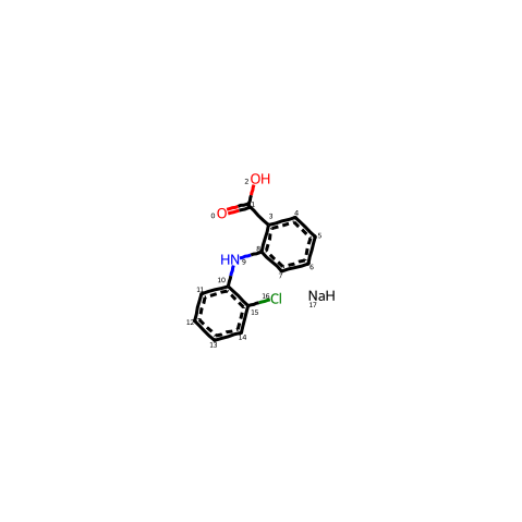 O=C(O)c1ccccc1Nc1ccccc1Cl.[NaH]